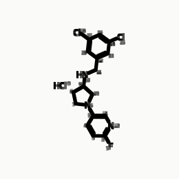 Cl.Fc1ccc(N2CCC(NCc3cc(Cl)cc(Cl)c3)C2)cn1